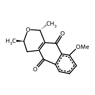 COc1cccc2c1C(=O)C1=C(C[C@@H](C)O[C@@H]1C)C2=O